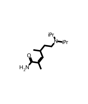 CC(=CC(C)CCN(C(C)C)C(C)C)C(N)=O